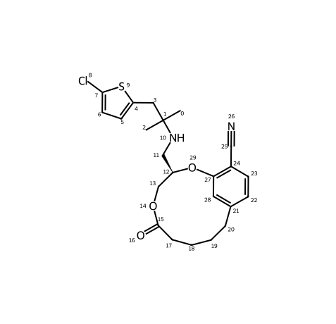 CC(C)(Cc1ccc(Cl)s1)NC[C@@H]1COC(=O)CCCCc2ccc(C#N)c(c2)O1